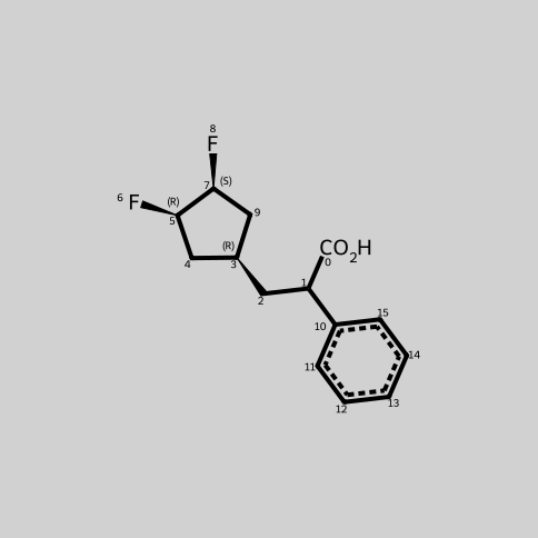 O=C(O)C(C[C@H]1C[C@@H](F)[C@@H](F)C1)c1ccccc1